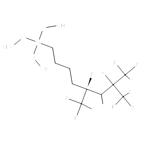 CO[Si](CCCC[C@](F)(C(F)C(F)(C(F)(F)F)C(F)(F)F)C(F)(F)F)(OC)OC